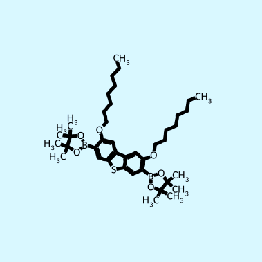 CCCCCCCCOc1cc2c(cc1B1OC(C)(C)C(C)(C)O1)sc1cc(B3OC(C)(C)C(C)(C)O3)c(OCCCCCCCC)cc12